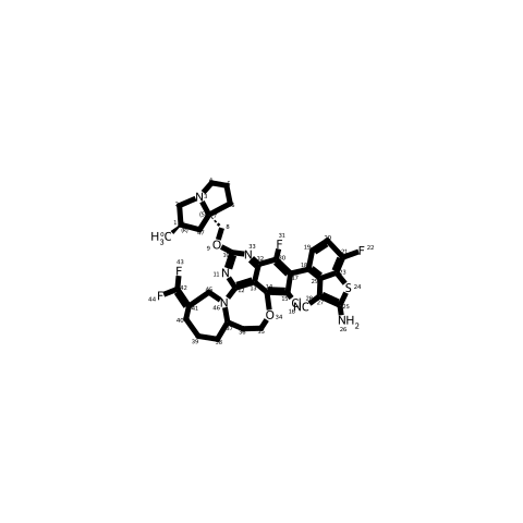 C[C@H]1CN2CCC[C@@]2(COc2nc3c4c(c(Cl)c(-c5ccc(F)c6sc(N)c(C#N)c56)c(F)c4n2)OCCC2CCCC(=C(F)F)CN32)C1